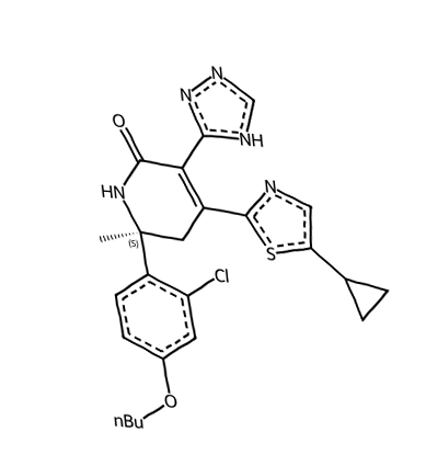 CCCCOc1ccc([C@]2(C)CC(c3ncc(C4CC4)s3)=C(c3nnc[nH]3)C(=O)N2)c(Cl)c1